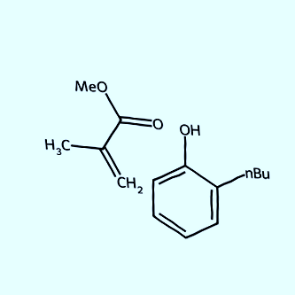 C=C(C)C(=O)OC.CCCCc1ccccc1O